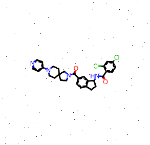 O=C(NC1CCc2ccc(C(=O)N3CCC4(CCN(c5ccncc5)CC4)C3)cc21)c1ccc(Cl)cc1Cl